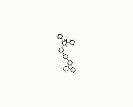 c1ccc(-c2cc(-c3cccc(-c4ccc(-c5ccc6c(c5)C5(CCCCC5)c5ccccc5-6)cc4)c3)nc(-c3ccccc3)n2)cc1